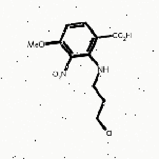 COc1ccc(C(=O)O)c(NCCCCl)c1[N+](=O)[O-]